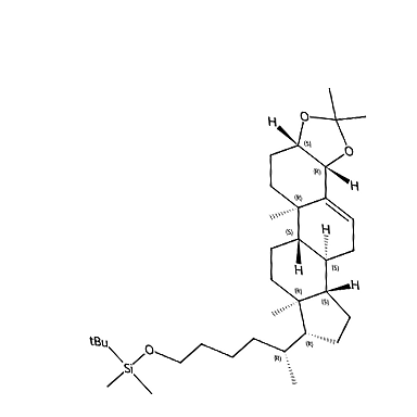 C[C@H](CCCCO[Si](C)(C)C(C)(C)C)[C@H]1CC[C@H]2[C@@H]3CC=C4[C@H]5OC(C)(C)O[C@H]5CC[C@]4(C)[C@H]3CC[C@]12C